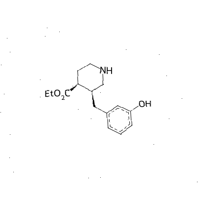 CCOC(=O)[C@H]1CCNC[C@H]1Cc1cccc(O)c1